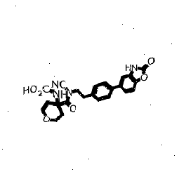 N#CN(CCc1ccc(-c2ccc3oc(=O)[nH]c3c2)cc1)C(=O)C1(NC(=O)O)CCOCC1